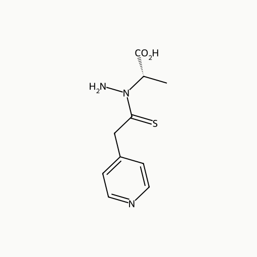 C[C@@H](C(=O)O)N(N)C(=S)Cc1ccncc1